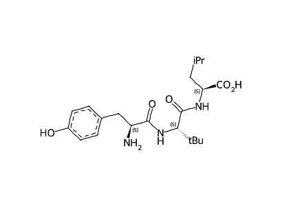 CC(C)C[C@H](NC(=O)[C@@H](NC(=O)[C@@H](N)Cc1ccc(O)cc1)C(C)(C)C)C(=O)O